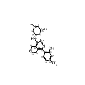 CN1C[C@H](F)C[C@@H](Nc2nnc(-c3ccc(C(F)(F)F)cc3O)c3c2COCC3)C1